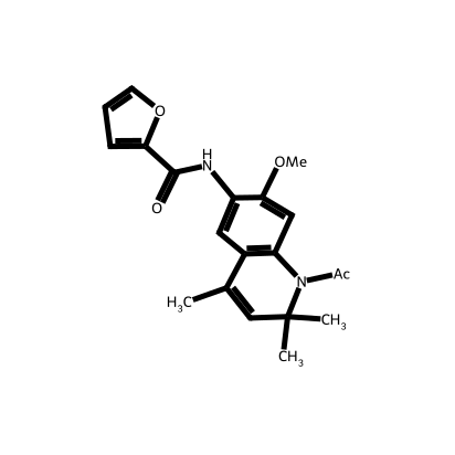 COc1cc2c(cc1NC(=O)c1ccco1)C(C)=CC(C)(C)N2C(C)=O